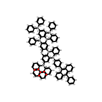 c1ccc(-c2ccccc2N(c2cc3c4c(c2)N(c2ccc(-c5c6ccccc6c(-c6ccccc6)c6ccccc56)cc2)c2ccccc2B4c2cc4c(cc2S3)N(c2ccccc2)c2cc(N(c3ccccc3)c3ccccc3)cc3c2B4c2ccccc2N3c2ccccc2)c2ccccc2-c2ccccc2)cc1